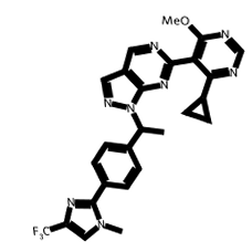 COc1ncnc(C2CC2)c1-c1ncc2cnn(C(C)c3ccc(-c4nc(C(F)(F)F)cn4C)cc3)c2n1